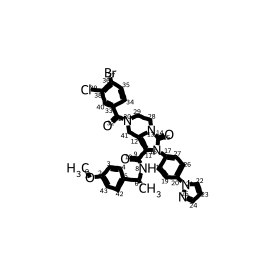 COc1ccc(C(C)NC(=O)c2c3n(c(=O)n2-c2ccc(-n4cccn4)cc2)CCN(C(=O)c2ccc(Br)c(Cl)c2)C3)cc1